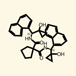 O=C(N[C@@H](c1cccc2ccccc12)C1(O)CC1)C1(C(=O)N[C@@H](c2cccc3ccccc23)C2(O)CC2)CCCC1